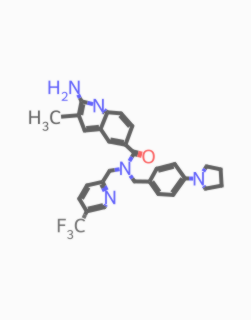 Cc1cc2cc(C(=O)N(Cc3ccc(N4CCCC4)cc3)Cc3ccc(C(F)(F)F)cn3)ccc2nc1N